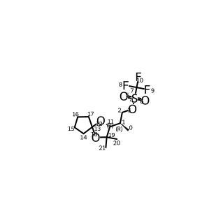 C[C@H](COS(=O)(=O)C(F)(F)F)[C@H]1OC2(CCCC2)OC1(C)C